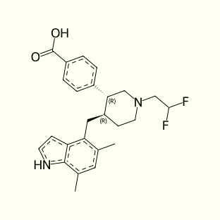 Cc1cc(C)c2[nH]ccc2c1C[C@@H]1CCN(CC(F)F)C[C@H]1c1ccc(C(=O)O)cc1